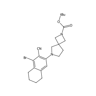 CC(C)(C)OC(=O)N1CC2(CCN(c3cc4c(c(Br)c3C#N)CCCC4)C2)C1